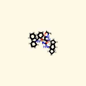 C[C@@H]1COc2c([S@](=O)(=NC(=O)Nc3c4c(cc5c3CCC5)CCC4)NC(c3ccccc3)(c3ccccc3)c3ccccc3)cnn21